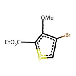 CCOC(=O)c1scc(Br)c1OC